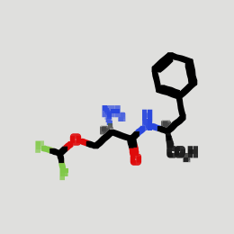 N[C@@H](COC(F)F)C(=O)N[C@@H](Cc1ccccc1)C(=O)O